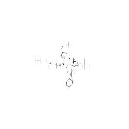 CC(=O)OCC(Nc1n[nH]c(O)c1N=Nc1ccccc1)c1cc(CO)co1